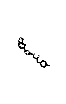 Cc1ccc(CC(N)CNc2nnc(-c3ccc4[nH]ncc4c3)s2)cc1